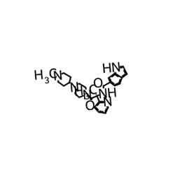 CN1CCC(N2CCN(C(=O)[C@@](C)(NC(=O)c3ccc4cc[nH]c4c3)c3ccccn3)CC2)CC1